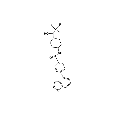 O=C(NC1CCC(C(O)C(F)(F)F)CC1)c1ccc(-c2nccc3occc23)cc1